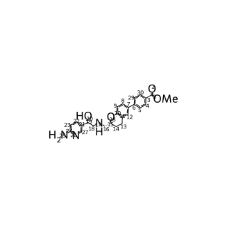 COC(=O)c1ccc(-c2ccc3c(c2)CC[C@H](CNC[C@@H](O)c2ccc(N)nc2)O3)cc1